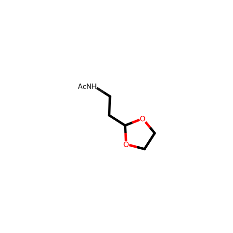 CC(=O)NCCC1OCCO1